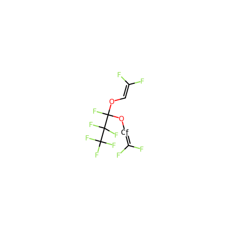 FC(F)=COC(F)([O][Cf]=[C](F)F)C(F)(F)C(F)(F)F